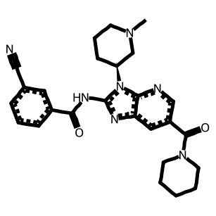 CN1CCC[C@H](n2c(NC(=O)c3cccc(C#N)c3)nc3cc(C(=O)N4CCCCC4)cnc32)C1